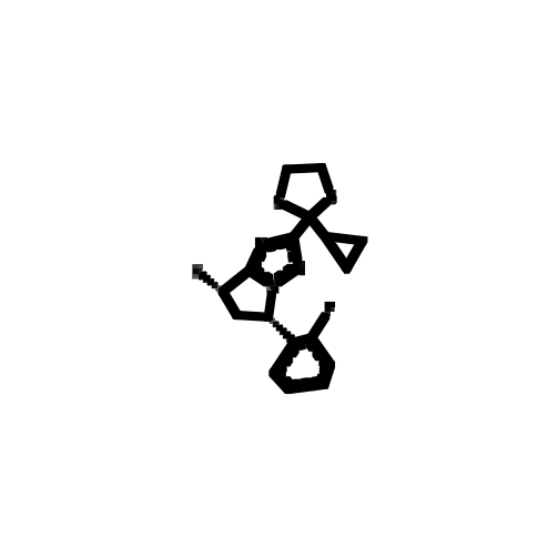 Fc1ccccc1[C@@H]1C[C@H](F)c2nc(C3(C4CC4)SCCS3)nn21